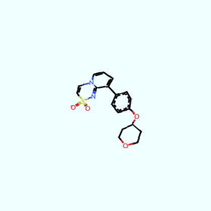 O=S1(=O)C=CN2C=CC=C(c3ccc(OC4CCOCC4)cc3)C2=N1